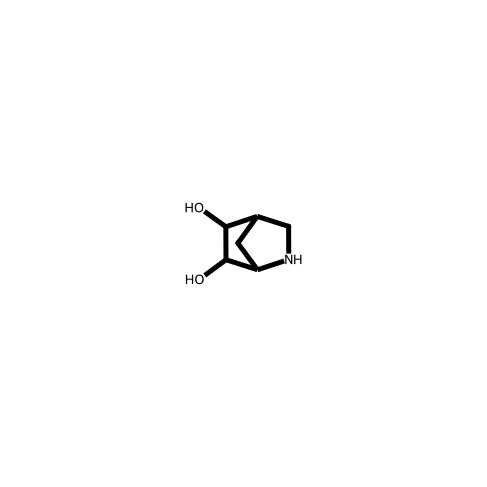 OC1C2CNC(C2)C1O